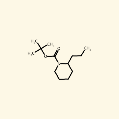 CCCC1CCCCN1C(=O)OC(C)(C)C